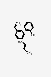 C=Cc1ccccc1.CC=CC.Cc1ccccc1